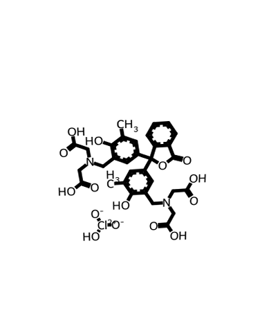 Cc1cc(C2(c3cc(C)c(O)c(CN(CC(=O)O)CC(=O)O)c3)OC(=O)c3ccccc32)cc(CN(CC(=O)O)CC(=O)O)c1O.[O-][Cl+2]([O-])O